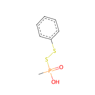 CP(=O)(O)SSc1ccccc1